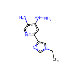 NNc1cc(-c2cn(CC(F)(F)F)cn2)ncc1N